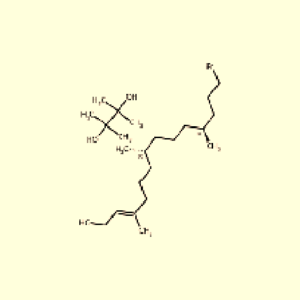 CC(=CCO)CCC[C@H](C)CCC[C@H](C)CCCC(C)C.CC(C)(O)C(C)(C)O